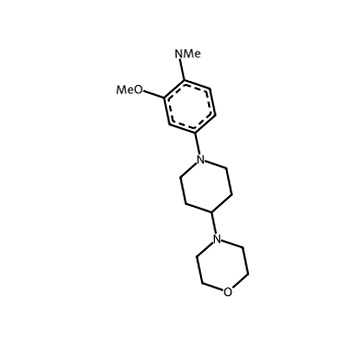 CNc1ccc(N2CCC(N3CCOCC3)CC2)cc1OC